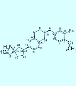 COc1ccc(C[C@@H]2CCc3cc([C@H]4CC[C@](N)(CO)C4)ccc3C2)cc1F